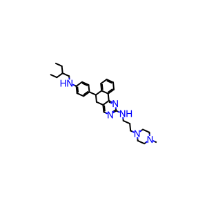 CCC(CC)CNc1ccc(C2Cc3cnc(NCCCN4CCN(C)CC4)nc3-c3ccccc32)cc1